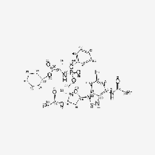 CC(C)C(=O)Nc1nc(F)nc2c1ncn2[C@H]1C[C@H](OC(=O)C(C)C)[C@@](C)(CO[P@@](=O)(N[C@@H](C)C(=O)OC2CCCCC2)Oc2ccccc2)O1